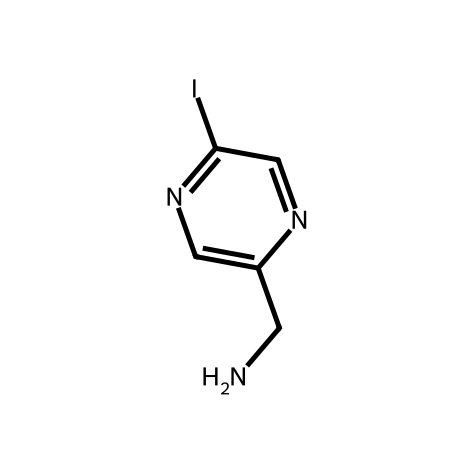 NCc1cnc(I)cn1